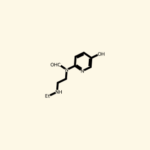 CCNCCN(C=O)c1ccc(O)cn1